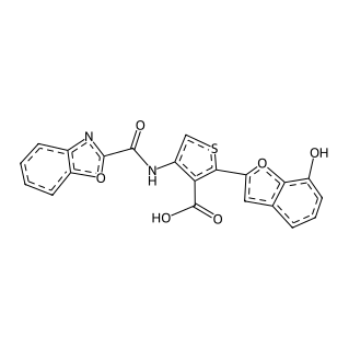 O=C(Nc1csc(-c2cc3cccc(O)c3o2)c1C(=O)O)c1nc2ccccc2o1